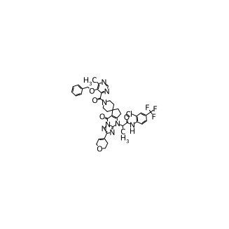 Cc1ncnc(C(=O)N2CCC3(CCc4c3c(=O)n3nc(C5=CCOCC5)nc3n4C(C)C(=O)Nc3ccc(C(F)(F)F)cc3Cl)CC2)c1OCc1ccccc1